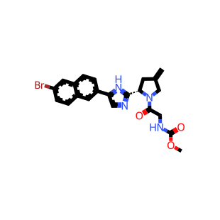 C=C1C[C@@H](c2ncc(-c3ccc4cc(Br)ccc4c3)[nH]2)N(C(=O)CNC(=O)OC)C1